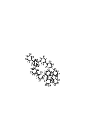 c1ccc(-c2cccc(-c3nc(-c4ccccc4)nc(-c4cccc(-c5cccc(-c6cccc7c6-c6ccccc6C76c7ccccc7-c7ccccc76)c5)c4)n3)c2)cc1